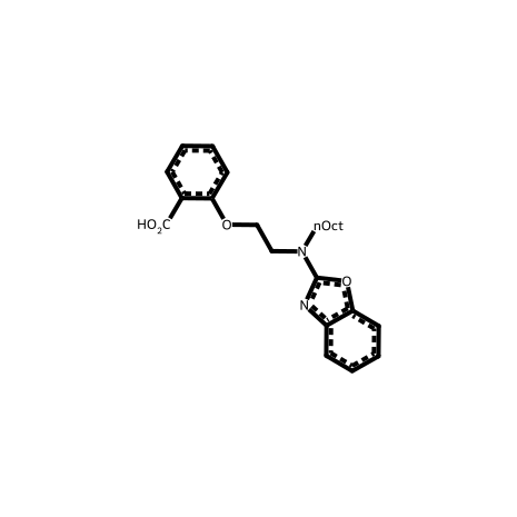 CCCCCCCCN(CCOc1ccccc1C(=O)O)c1nc2ccccc2o1